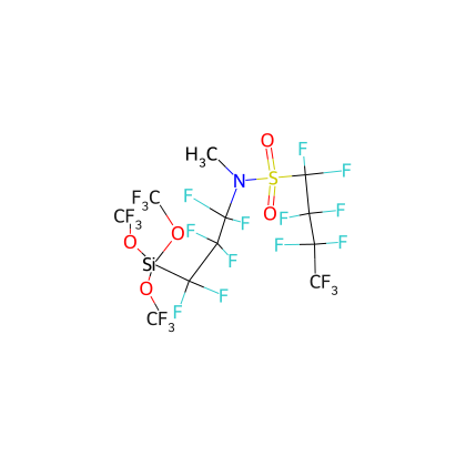 CN(C(F)(F)C(F)(F)C(F)(F)[Si](OC(F)(F)F)(OC(F)(F)F)OC(F)(F)F)S(=O)(=O)C(F)(F)C(F)(F)C(F)(F)C(F)(F)F